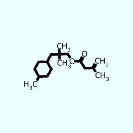 C=C(C)CC(=O)OCC(C)(C)CC1CCC(C)CC1